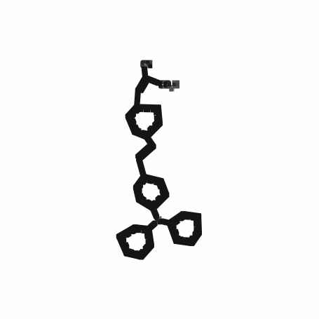 N#CC(=Cc1ccc(C=Cc2ccc(N(c3ccccc3)c3ccccc3)cc2)cc1)C(=O)O